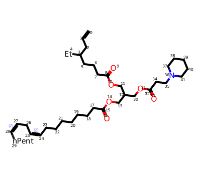 C=CCC(CC)CCCC(=O)OCC(COC(=O)CCCCCCC/C=C\C/C=C\CCCCC)COC(=O)CCN1CCCCC1